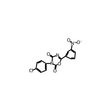 O=c1nc(-c2cccc([N+](=O)[O-])c2)oc(=O)n1-c1ccc(Cl)cc1